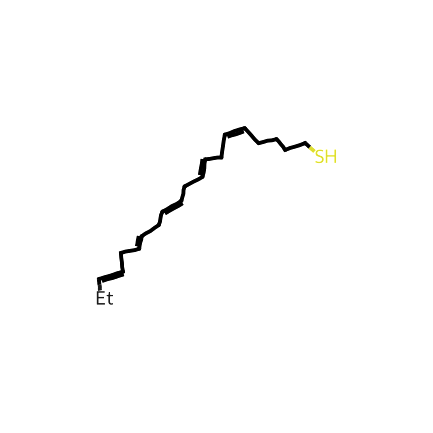 CCC=CCC=CCC=CCC=CC/C=C\CCCCS